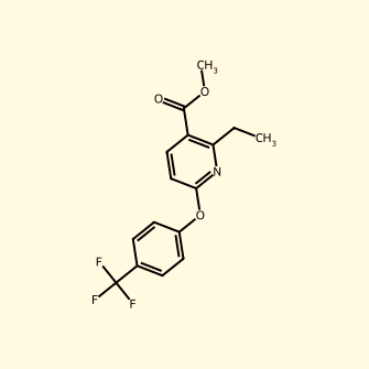 CCc1nc(Oc2ccc(C(F)(F)F)cc2)ccc1C(=O)OC